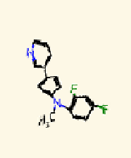 CN(c1ccc(-c2cccnc2)cc1)c1ccc(F)cc1F